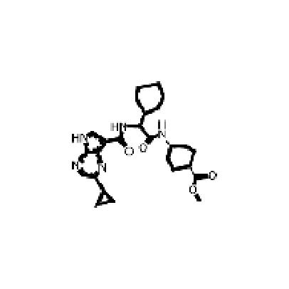 COC(=O)[C@H]1CC[C@H](NC(=O)C(NC(=O)c2c[nH]c3ncc(C4CC4)nc23)C2CCCCC2)CC1